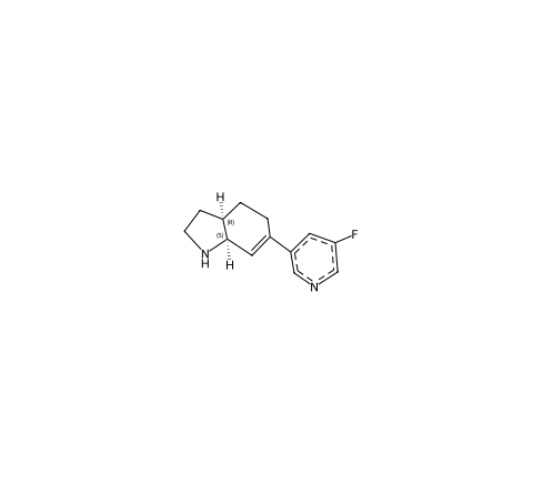 Fc1cncc(C2=C[C@H]3NCC[C@H]3CC2)c1